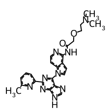 Cc1cccc(-c2nc(-n3ccc4c(NC(=O)COCCN(C)C)nccc43)c3nc[nH]c3n2)n1